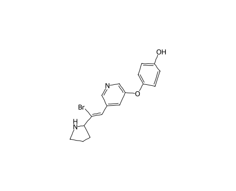 Oc1ccc(Oc2cncc(C=C(Br)C3CCCN3)c2)cc1